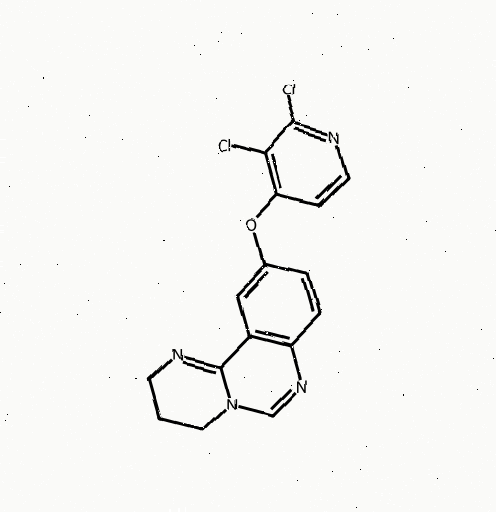 Clc1nccc(Oc2ccc3c(c2)C2=NCCCN2C=N3)c1Cl